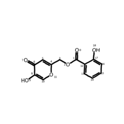 O=C(OCc1cc(=O)c(O)co1)c1ccccc1O